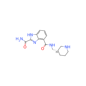 NC(=O)c1nc2c(C(=O)NC[C@H]3CCCNC3)cccc2[nH]1